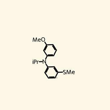 COc1cccc(N(c2cc[c]c(SC)c2)C(C)C)c1